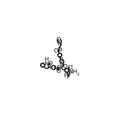 Nc1c(Cl)cc(C[C@@H](OC(=O)N2CCC(N3CCc4ccccc4NC3=O)CC2)C(=O)N2CCN(c3ccc(C(=O)OCCN4CCOCC4)cc3)CC2)cc1C(F)(F)F